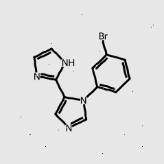 Brc1cccc(-n2cncc2-c2ncc[nH]2)c1